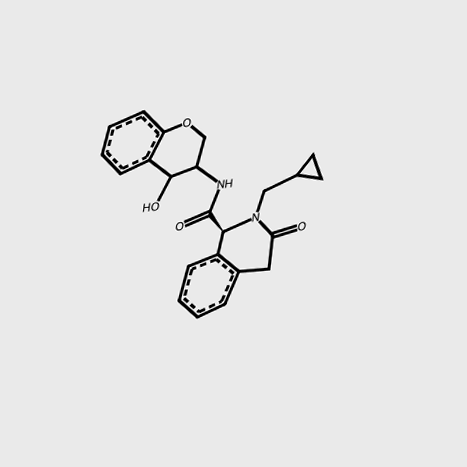 O=C(NC1COc2ccccc2C1O)[C@@H]1c2ccccc2CC(=O)N1CC1CC1